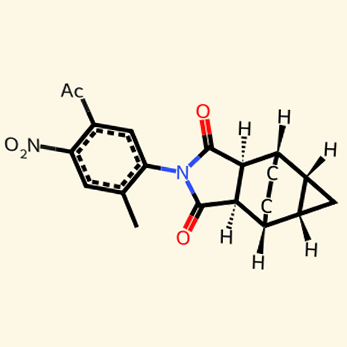 CC(=O)c1cc(N2C(=O)[C@@H]3[C@@H]4CC[C@@H]([C@@H]5C[C@@H]54)[C@@H]3C2=O)c(C)cc1[N+](=O)[O-]